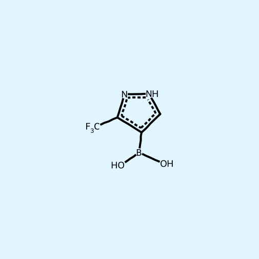 OB(O)c1c[nH]nc1C(F)(F)F